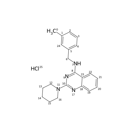 Cc1cccc(CNc2nc(N3CCCCC3)nc3ccccc23)c1.Cl